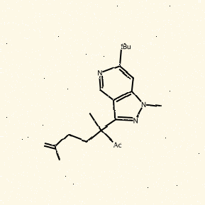 C=C(C)CCC(C)(C(C)=O)c1nn(C)c2cc(C(C)(C)C)ncc12